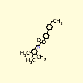 CCc1ccc(-c2ccc(OC(=O)/C=C/c3cc(C)c(CC)c(C)c3)cc2)cc1